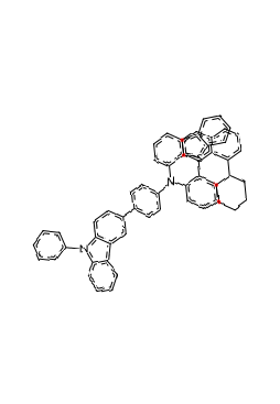 c1ccc(-n2c3ccccc3c3cc(-c4ccc(N(c5ccccc5-c5cccc6cccc(C7CCCCC7)c56)c5cccc6c5sc5ccccc56)cc4)ccc32)cc1